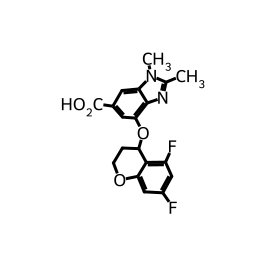 Cc1nc2c(OC3CCOc4cc(F)cc(F)c43)cc(C(=O)O)cc2n1C